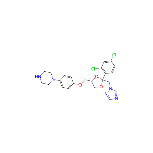 Clc1ccc(C2(Cn3cncn3)OCC(COc3ccc(N4CCNCC4)cc3)O2)c(Cl)c1